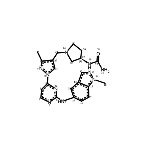 Cc1nn(-c2ccnc(Nc3ccc4c(cnn4C)c3)n2)cc1CN1CC[C@@H](NC(N)=O)C1